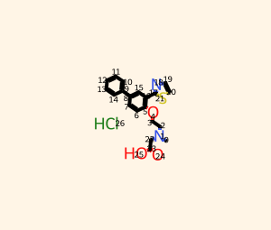 CN(CCOc1ccc(-c2ccccc2)cc1-c1nccs1)CC(=O)O.Cl